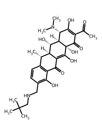 CC(=O)C1=C(O)[C@@H](N(C)C)[C@@H]2[C@@H](O)[C@H]3C(=C(O)[C@]2(O)C1=O)C(=O)c1c(ccc(CNCC(C)(C)C)c1O)[C@@H]3C